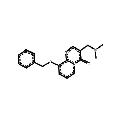 CN(C)Cc1cnc2c(OCc3ccccc3)cccn2c1=O